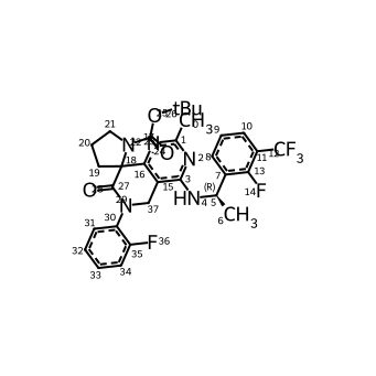 Cc1nc(N[C@H](C)c2cccc(C(F)(F)F)c2F)c2c(n1)C1(CCCN1C(=O)OC(C)(C)C)C(=O)N(c1ccccc1F)C2